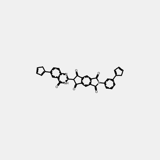 O=C1c2cc3c(cc2C(=O)C1c1nc2ccc(C4=CC=CC4)cc2c(=O)[nH]1)C(=O)N(c1cccc(C2=CC=CC2)c1)C3=O